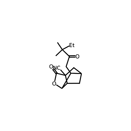 CCC(C)(C)C(=O)CC1C2CC3C1OC(=O)C3(C#N)C2